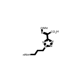 CCCCCCCCCCCCn1nnc(C(=NOC)C(=O)O)n1